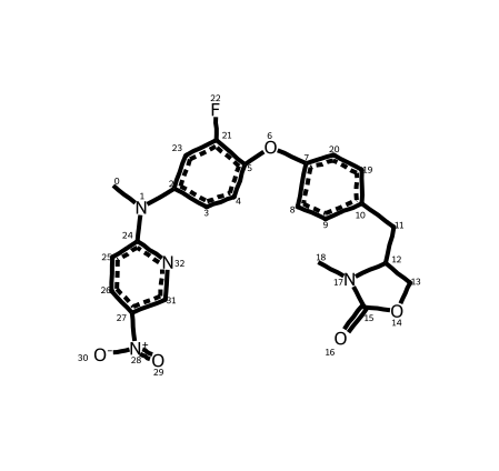 CN(c1ccc(Oc2ccc(CC3COC(=O)N3C)cc2)c(F)c1)c1ccc([N+](=O)[O-])cn1